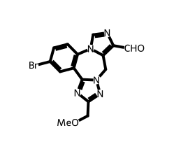 COCc1nc2n(n1)Cc1c(C=O)ncn1-c1ccc(Br)cc1-2